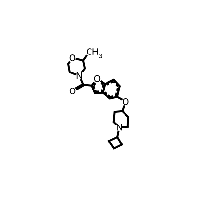 CC1CN(C(=O)c2cc3cc(OC4CCN(C5CCC5)CC4)ccc3o2)CCO1